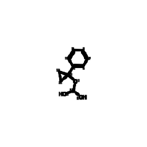 OB(O)OC1(c2ccccc2)CC1